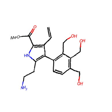 C=Cc1c(C(=O)OC)[nH]c(CCN)c1-c1ccc(CO)c(CO)c1CO